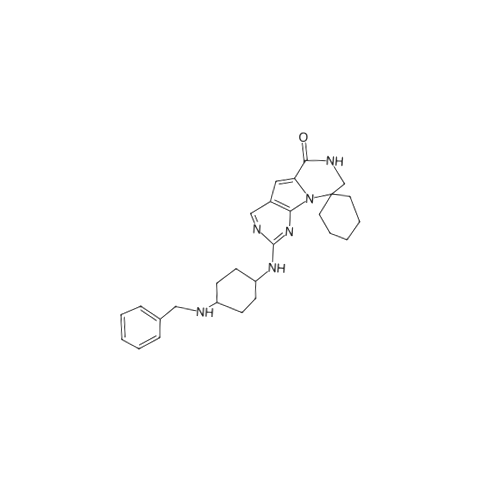 O=C1NCC2(CCCCC2)n2c1cc1cnc(NC3CCC(NCc4ccccc4)CC3)nc12